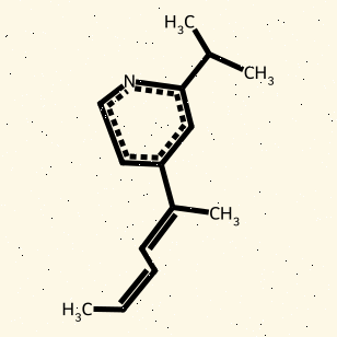 C/C=C\C=C(/C)c1ccnc(C(C)C)c1